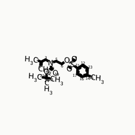 C=C(C)CN(CCOS(=O)(=O)c1ccc(C)cc1)C(=O)OC(C)(C)C